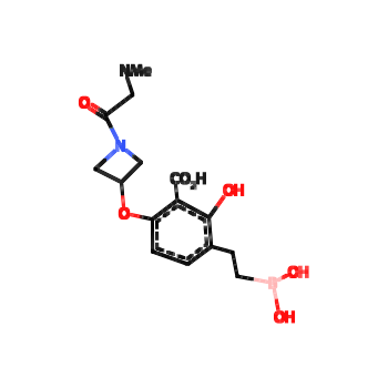 CNCC(=O)N1CC(Oc2ccc(CCB(O)O)c(O)c2C(=O)O)C1